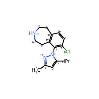 Cc1cc(C(C)C)n(-c2c(Cl)ccc3c2CCNCC3)n1